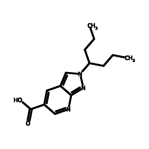 CCCC(CCC)n1cc2cc(C(=O)O)cnc2n1